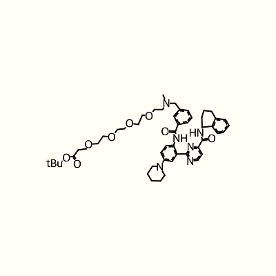 CN(CCOCCOCCOCCOCCC(=O)OC(C)(C)C)Cc1cccc(C(=O)Nc2ccc(N3CCCCC3)cc2-c2nccc(C(=O)N[C@H]3CCCc4ccccc43)n2)c1